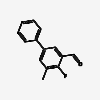 Cc1cc(-c2ccccc2)cc(C=O)c1F